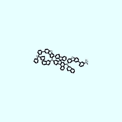 C[SiH2]c1cccc(-c2ccc3oc4ccc(N(c5ccc6ccccc6c5)c5cc6c(c7ccccc57)-c5ccc(N(c7ccc8ccccc8c7)c7ccc8oc9ccc(-c%10cccc([Si](C)(c%11ccccc%11)c%11ccccc%11)c%10)cc9c8c7)cc5C65c6ccccc6-c6ccccc65)cc4c3c2)c1